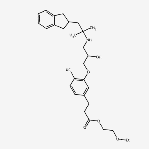 CCOCCOC(=O)CCc1ccc(C#N)c(OCC(O)CNC(C)(C)CC2Cc3ccccc3C2)c1